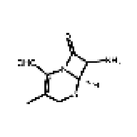 CC1=C([C]=O)N2C(=O)C(N)[C@H]2SC1